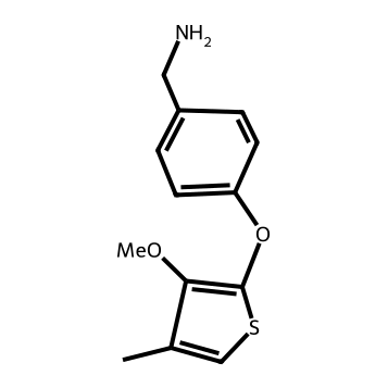 COc1c(C)csc1Oc1ccc(CN)cc1